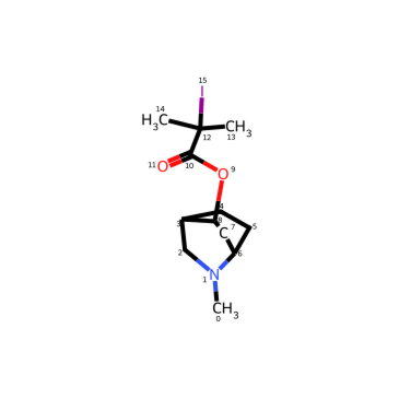 CN1CC2CCC1CC2OC(=O)C(C)(C)I